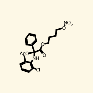 CC(=O)OC(Nc1c(Cl)cccc1Cl)(C(=O)OCCCCO[N+](=O)[O-])c1ccccc1